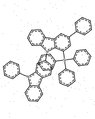 c1ccc(-c2cc([Si](c3ccccc3)(c3ccccc3)c3ccccc3)c3c(c2)c2ccccc2n3-c2ccc3c4ccccc4n(-c4ccccc4)c3c2)cc1